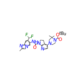 Cc1cn2cc(NC(=O)N3CCc4c(N5CCN(C(=O)OC(C)(C)C)C(C)(C)C5)ccnc43)c(C(F)F)cc2n1